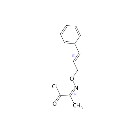 C/C(=N/OC/C=C/c1ccccc1)C(=O)Cl